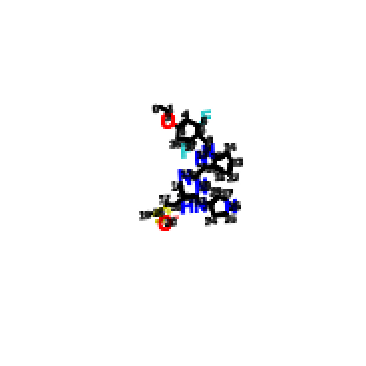 CCOc1cc(F)c(Cn2nc(-c3ncc(CC[S+](C)[O-])c(Nc4ccncc4)n3)c3ccccc32)c(F)c1